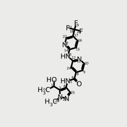 CC(O)c1c(NC(=O)c2ccnc(Nc3ccc(C(F)(F)F)cn3)c2)cnn1C